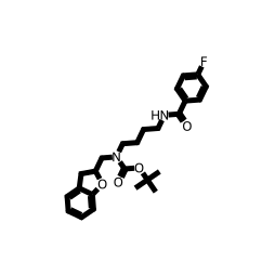 CC(C)(C)OC(=O)N(CCCCNC(=O)c1ccc(F)cc1)CC1Cc2ccccc2O1